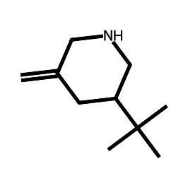 C=C1CNCC(C(C)(C)C)C1